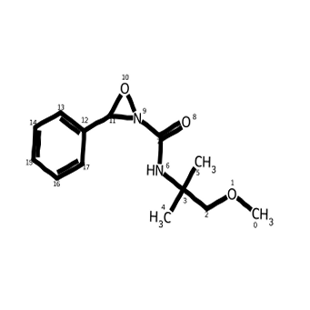 COCC(C)(C)NC(=O)N1OC1c1ccccc1